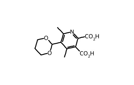 Cc1nc(C(=O)O)c(C(=O)O)c(C)c1C1OCCCO1